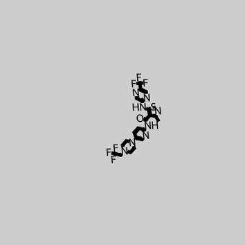 Cc1nsc(Nc2cnc(C(F)(F)F)cn2)c1C(=O)Nc1ccc(N2CCN(CC(F)(F)F)CC2)cn1